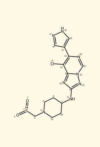 O=[SH](=O)CN1CCC(Nc2nc3c(Cl)c(-c4cn[nH]c4)ncn3n2)CC1